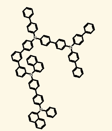 c1ccc(-c2ccc(N(c3ccc(-c4ccccc4)cc3)c3ccc(-c4ccc(N(c5ccc(-c6ccccc6)cc5)c5ccc(-c6cccc(-c7cccc(N(c8ccc(-c9ccc(N(c%10ccccc%10)c%10cccc%11ccccc%10%11)cc9)cc8)c8cccc9ccccc89)c7)c6)cc5)cc4)cc3)cc2)cc1